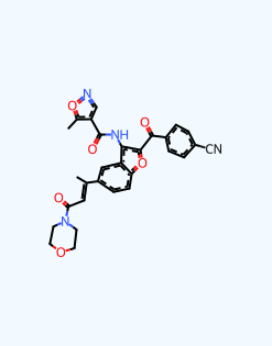 CC(=CC(=O)N1CCOCC1)c1ccc2oc(C(=O)c3ccc(C#N)cc3)c(NC(=O)c3cnoc3C)c2c1